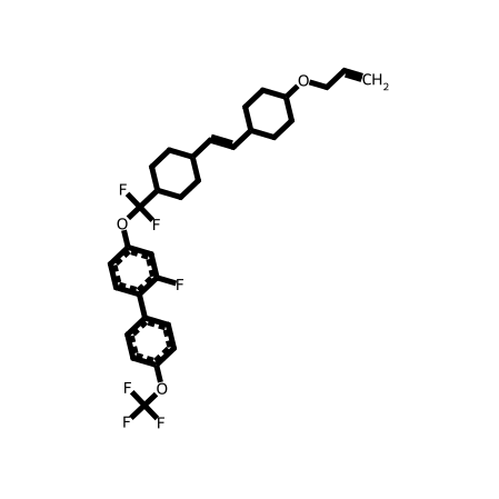 C=CCOC1CCC(/C=C/C2CCC(C(F)(F)Oc3ccc(-c4ccc(OC(F)(F)F)cc4)c(F)c3)CC2)CC1